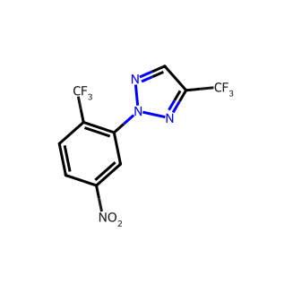 O=[N+]([O-])c1ccc(C(F)(F)F)c(-n2ncc(C(F)(F)F)n2)c1